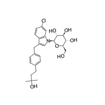 CC(C)(O)CCc1ccc(Cc2cn([C@@H]3O[C@H](CO)[C@@H](O)[C@H](O)[C@H]3O)c3cc(Cl)ccc23)cc1